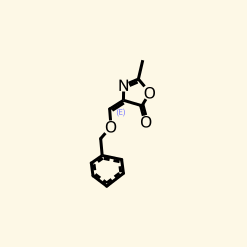 CC1=N/C(=C/OCc2ccccc2)C(=O)O1